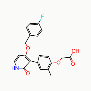 Cc1cc(-c2c(OCc3ccc(F)cc3)cc[nH]c2=O)ccc1OCC(=O)O